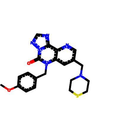 COc1ccc(Cn2c(=O)n3ncnc3c3ncc(CN4CCSCC4)cc32)cc1